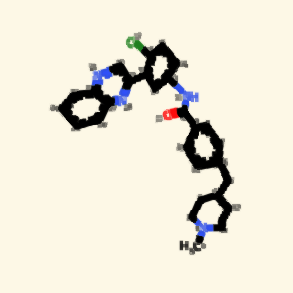 CN1CCC(Cc2ccc(C(=O)Nc3ccc(Cl)c(-c4cnc5ccccc5n4)c3)cc2)CC1